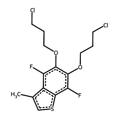 Cc1csc2c(F)c(OCCCCl)c(OCCCCl)c(F)c12